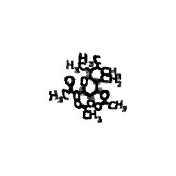 CC(=O)O[C@H]1O[C@H]([C@@H](C)C(C)C)[C@@H](C)[C@H](OC(C)=O)[C@@H]1OC(C)=O